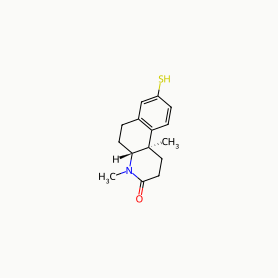 CN1C(=O)CC[C@]2(C)c3ccc(S)cc3CC[C@@H]12